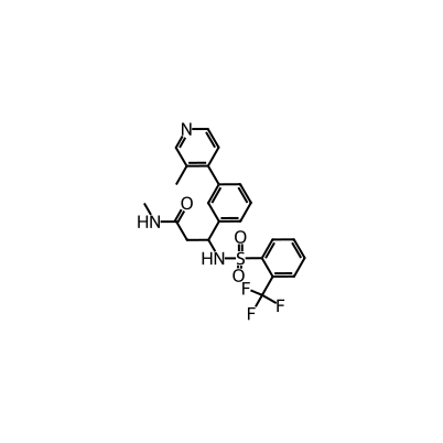 CNC(=O)CC(NS(=O)(=O)c1ccccc1C(F)(F)F)c1cccc(-c2ccncc2C)c1